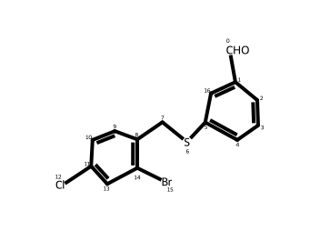 O=Cc1cccc(SCc2ccc(Cl)cc2Br)c1